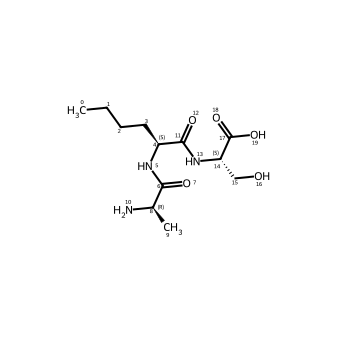 CCCC[C@H](NC(=O)[C@@H](C)N)C(=O)N[C@@H](CO)C(=O)O